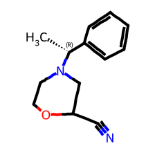 C[C@H](c1ccccc1)N1CCOC(C#N)C1